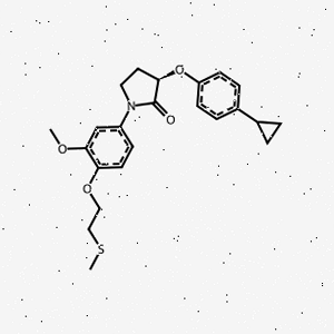 COc1cc(N2CC[C@@H](Oc3ccc(C4CC4)cc3)C2=O)ccc1OCCSC